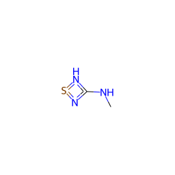 CNc1ns[nH]1